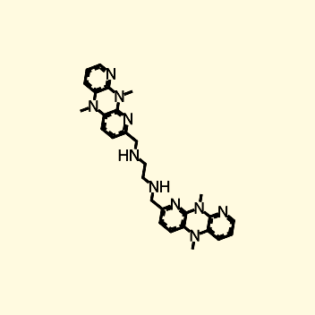 CN1c2cccnc2N(C)c2nc(CNCCNCc3ccc4c(n3)N(C)c3ncccc3N4C)ccc21